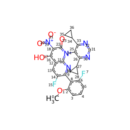 COc1cccc(F)c1-c1nc2c(cc1F)c(O)c([N+](=O)[O-])c(=O)n2-c1c(C2CC2)ncnc1C1CC1